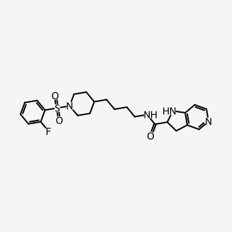 O=C(NCCCCC1CCN(S(=O)(=O)c2ccccc2F)CC1)C1Cc2cnccc2N1